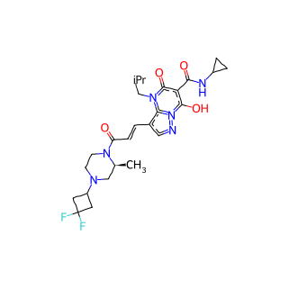 CC(C)Cn1c(=O)c(C(=O)NC2CC2)c(O)n2ncc(/C=C/C(=O)N3CCN(C4CC(F)(F)C4)C[C@@H]3C)c12